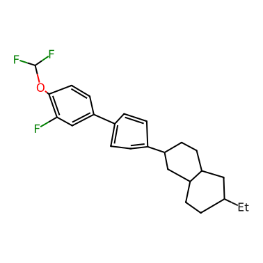 CCC1CCC2CC(c3ccc(-c4ccc(OC(F)F)c(F)c4)cc3)CCC2C1